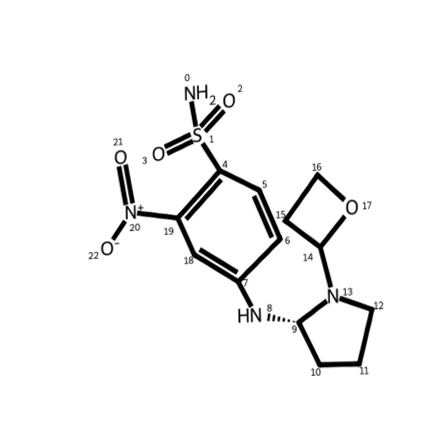 NS(=O)(=O)c1ccc(N[C@H]2CCCN2C2CCO2)cc1[N+](=O)[O-]